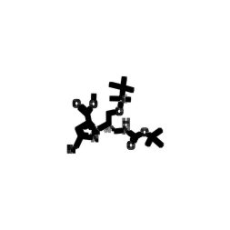 COC(=O)c1cc(Br)nn1[C@@H](CNC(=O)OC(C)(C)C)CO[Si](C)(C)C(C)(C)C